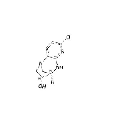 O[C@@H]1CN2C[C@H]1Nc1nc(Cl)ccc12